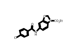 CCOC(=O)N1COc2cc(NC(=O)c3ccc(Cl)cc3)ccc21